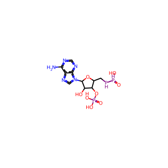 Nc1ncnc2c1ncn2C1OC(CP[PH](=O)O)C(OP(=O)(O)O)C1O